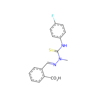 CN(N=Cc1ccccc1C(=O)O)C(=S)Nc1ccc(F)cc1